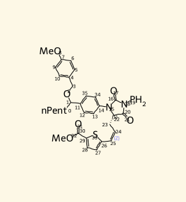 CCCCCC(OCc1ccc(OC)cc1)c1ccc(N2C(=O)N(P)C(=O)[C@@H]2C/C=C\c2ccc(C(=O)OC)s2)cc1